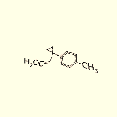 C=C=CC1(c2ccc(C)cc2)CC1